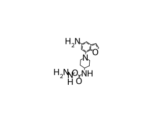 NNOC(=O)NC1CCN(c2cc(N)cc3ccoc23)CC1